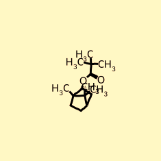 CC(C)(C)C(=O)O[C@@H]1CC2CCC1(C)C2(C)C